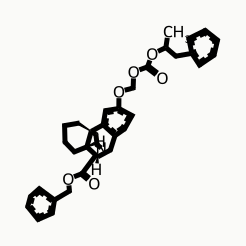 CC(Cc1ccccc1)OC(=O)OCOc1ccc2c(c1)[C@@]13CCCC[C@H]1[C@@H](C2)N(C(=O)OCc1ccccc1)CC3